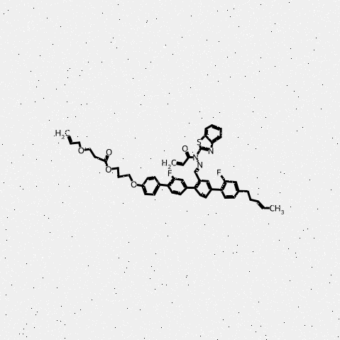 C=CCOCCC(=O)OCCCOc1ccc(-c2ccc(-c3ccc(-c4ccc(CC/C=C/C)cc4F)cc3/C=N/N(C(=O)C=C)c3nc4ccccc4s3)cc2F)cc1